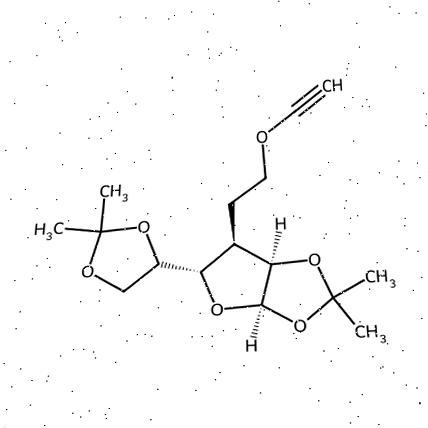 C#COCC[C@H]1[C@H]2OC(C)(C)O[C@H]2O[C@@H]1C1COC(C)(C)O1